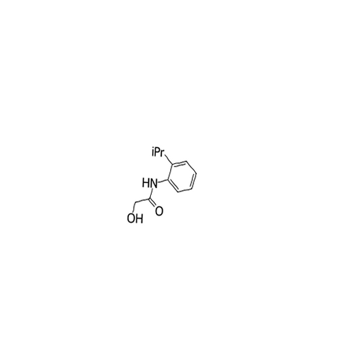 CC(C)c1ccccc1NC(=O)CO